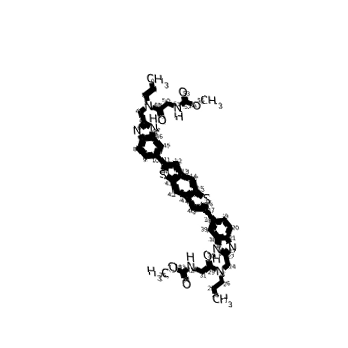 CCCN(Cc1nc2ccc(-c3cc4cc5sc(-c6ccc7nc(CN(CCC)C(=O)CNC(=O)OC)[nH]c7c6)cc5cc4s3)cc2[nH]1)C(=O)CNC(=O)OC